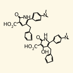 CN(C)c1ccc(-c2[nH]c(=O)c(C(=O)O)c(O)c2Cc2ccccc2)cc1.CN(C)c1ccc(-c2[nH]c(=O)c(C(=O)O)cc2Cc2ccccc2)cc1